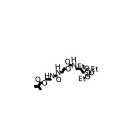 C=C(C)C(=O)OCCNC(=O)NCCOC(=O)NCCC[Si](OCC)(OCC)OCC